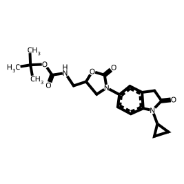 CC(C)(C)OC(=O)NCC1CN(c2ccc3c(c2)CC(=O)N3C2CC2)C(=O)O1